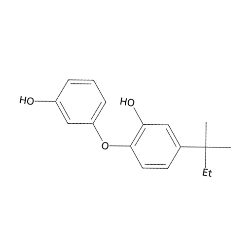 CCC(C)(C)c1ccc(Oc2cccc(O)c2)c(O)c1